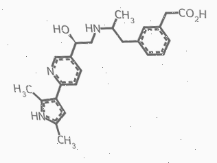 Cc1cc(-c2ccc([C@@H](O)CNC(C)Cc3cccc(CC(=O)O)c3)cn2)c(C)[nH]1